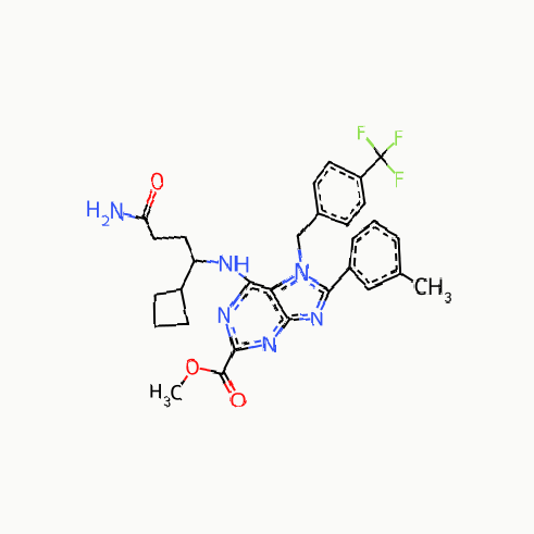 COC(=O)c1nc(NC(CCC(N)=O)C2CCC2)c2c(n1)nc(-c1cccc(C)c1)n2Cc1ccc(C(F)(F)F)cc1